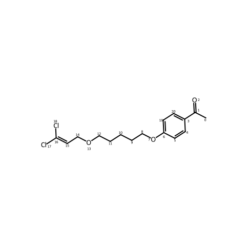 CC(=O)c1ccc(OCCCCCOCC=C(Cl)Cl)cc1